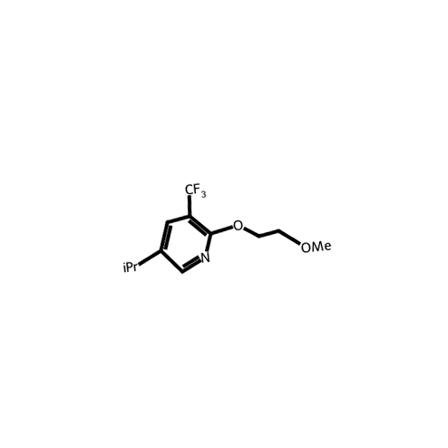 COCCOc1ncc(C(C)C)cc1C(F)(F)F